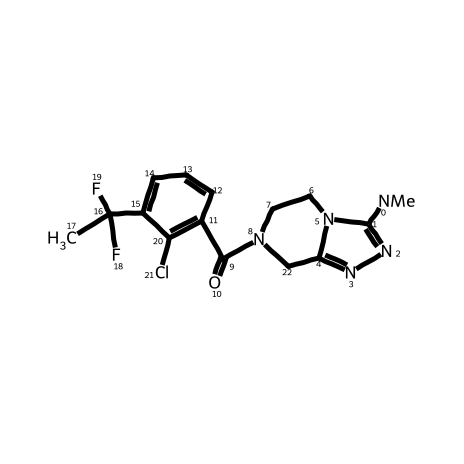 CNc1nnc2n1CCN(C(=O)c1cccc(C(C)(F)F)c1Cl)C2